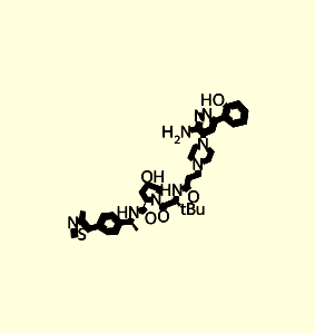 Cc1ncsc1-c1ccc([C@H](C)NC(=O)[C@@H]2C[C@@H](O)CN2C(=O)[C@@H](NC(=O)CCN2CCN(c3cc(-c4ccccc4O)nnc3N)CC2)C(C)(C)C)cc1